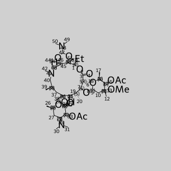 CC[C@H]1OC(=O)[C@H](C)[C@@H](O[C@H]2C[C@@](C)(OC)[C@@H](OC(C)=O)[C@H](C)O2)[C@H](C)[C@@H](O[C@@H]2O[C@H](C)C[C@H](N(C)C)[C@H]2OC(C)=O)[C@](C)(O)C[C@@H](C)CN(C)[C@H](C)[C@@H]2OC(N(C)C)O[C@]12C